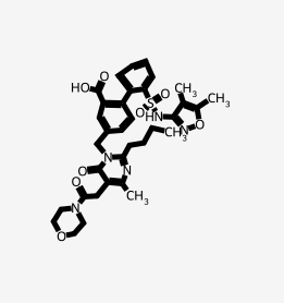 CCCCc1nc(C)c(CC(=O)N2CCOCC2)c(=O)n1Cc1ccc(-c2ccccc2S(=O)(=O)Nc2noc(C)c2C)c(C(=O)O)c1